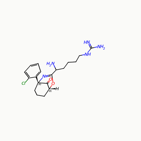 N=C(N)NCCCCC(N)C1=N[C@@]2(c3ccccc3Cl)CCC[C@@H](O1)C2=O